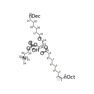 CCCCCCCC/C=C\CCCCCCCC(=O)O[C@H](COCCCCCCCCCCCCCCCC)COP(=O)(O)OCC[N+](C)(C)C